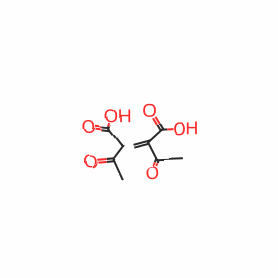 C=C(C(C)=O)C(=O)O.CC(=O)CC(=O)O